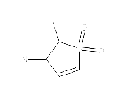 CC1C(N)C=CS1(=O)=O